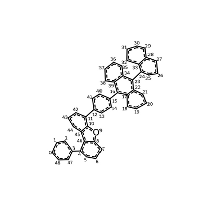 c1ccc(-c2cccc3oc4c(-c5ccc(-c6c7ccccc7c(-c7cccc8ccccc78)c7ccccc67)cc5)cccc4c23)cc1